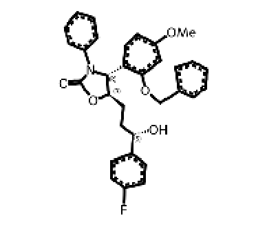 COc1ccc([C@@H]2[C@@H](CC[C@H](O)c3ccc(F)cc3)OC(=O)N2c2ccccc2)c(OCc2ccccc2)c1